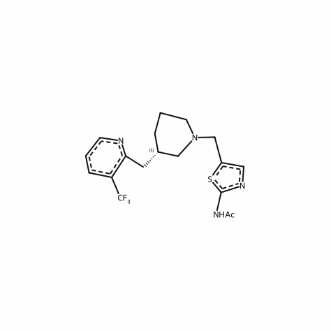 CC(=O)Nc1ncc(CN2CCC[C@@H](Cc3ncccc3C(F)(F)F)C2)s1